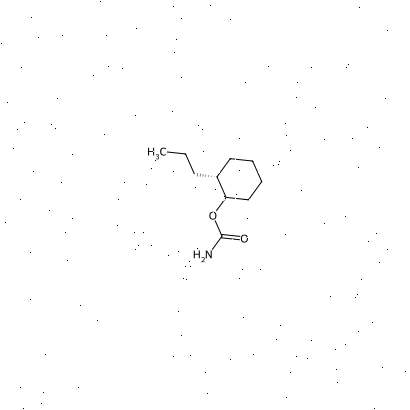 CCC[C@@H]1CCCCC1OC(N)=O